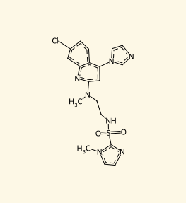 CN(CCNS(=O)(=O)c1nccn1C)c1cc(-n2ccnc2)c2ccc(Cl)cc2n1